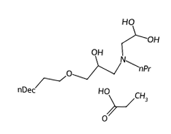 CCC(=O)O.CCCCCCCCCCCCOCC(O)CN(CCC)CC(O)O